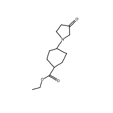 CCOC(=O)C1CCC(N2CCC(=O)C2)CC1